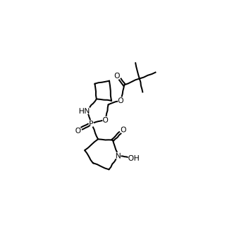 CC(C)(C)C(=O)OCOP(=O)(NC1CCC1)C1CCCN(O)C1=O